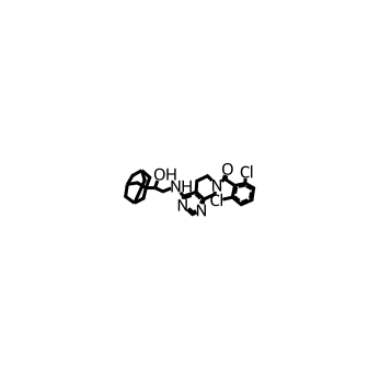 O=C(c1c(Cl)cccc1Cl)N1CCc2c(ncnc2NCC(O)C23CC4CC(CC(C4)C2)C3)C1